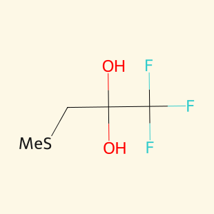 CSCC(O)(O)C(F)(F)F